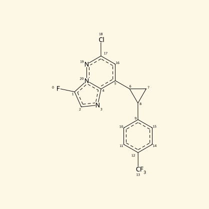 Fc1cnc2c(C3CC3c3ccc(C(F)(F)F)cc3)cc(Cl)nn12